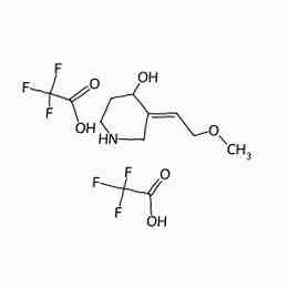 COC/C=C1\CNCCC1O.O=C(O)C(F)(F)F.O=C(O)C(F)(F)F